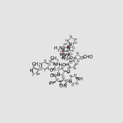 Cc1ncsc1-c1ccc([C@H](C)NC(=O)[C@@H]2C[C@@H](Oc3cccc(-c4cc(N5CC6CCC(C5)N6c5ccnc(O[C@H]6C[C@H](C=O)C6)c5)c(N)nn4)c3O)CN2C(=O)[C@@H](c2cc(N3CCNCC3)no2)C(C)C)cc1